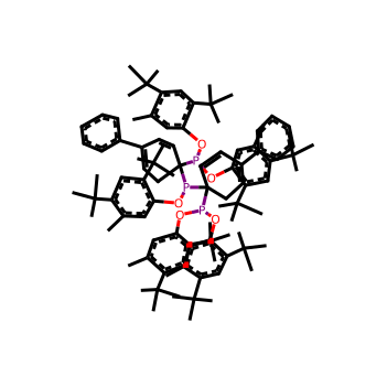 Cc1cc(OP(Oc2cc(C)c(C(C)(C)C)cc2C(C)(C)C)C2(P(Oc3cc(C)c(C(C)(C)C)cc3C(C)(C)C)C3(P(Oc4cc(C)c(C(C)(C)C)cc4C(C)(C)C)Oc4cc(C)c(C(C)(C)C)cc4C(C)(C)C)C=CC(c4ccccc4)=CC3)C=CC(c3ccccc3)=CC2)c(C(C)(C)C)cc1C(C)(C)C